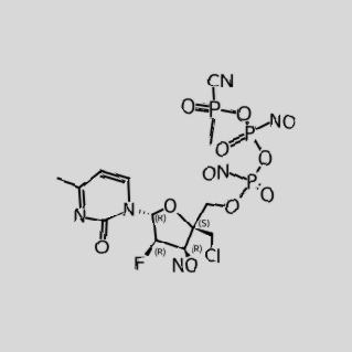 Cc1ccn([C@@H]2O[C@](CCl)(COP(=O)(N=O)OP(=O)(N=O)OP(C)(=O)C#N)[C@@H](N=O)[C@H]2F)c(=O)n1